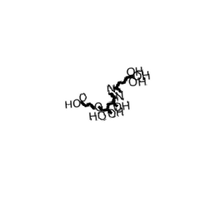 O=C(O)CCCOC(O)C(O)CC(O)c1cnc(CCCC(O)(O)O)cn1